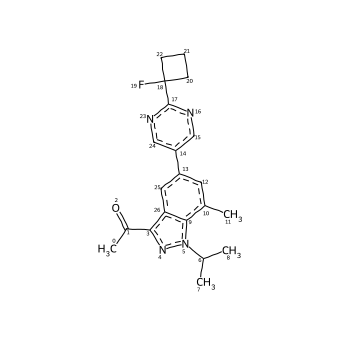 CC(=O)c1nn(C(C)C)c2c(C)cc(-c3cnc(C4(F)CCC4)nc3)cc12